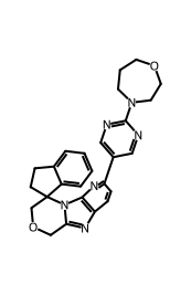 c1ccc2c(c1)CCC21COCc2nc3ccc(-c4cnc(N5CCCOCC5)nc4)nc3n21